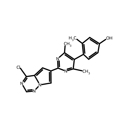 Cc1cc(O)ccc1-c1c(C)nc(-c2cc3c(Cl)ncnn3c2)nc1C